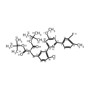 COc1nc(-c2ccc(C)c(F)c2)nc(-c2cc(CN(C(=O)OC(C)(C)C)C(=O)OC(C)(C)C)ccc2Cl)n1